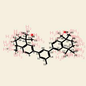 BC(B)(B)C1(B)c2ccc(-c3cc(C)cc(-c4ccc5c(c4)C(C(B)(B)B)(C(B)(B)B)C(B)(B)C(B)(B)C5(C(B)(B)B)C(B)(B)B)c3)cc2C(C(B)(B)B)(C(B)(B)B)C(B)(B)C1(B)B